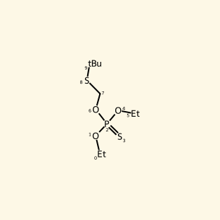 CCOP(=S)(OCC)OCSC(C)(C)C